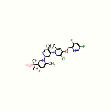 CC1=CC=C(C(C)(C)O)CN1c1cc(N2CC(Cl)=C(OCc3ncc(F)cc3F)C=C2C)c(C)cn1